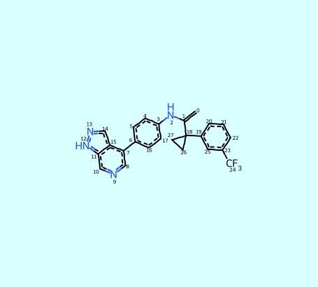 C=C(Nc1ccc(-c2cncc3[nH]ncc23)cc1)C1(c2cccc(C(F)(F)F)c2)CC1